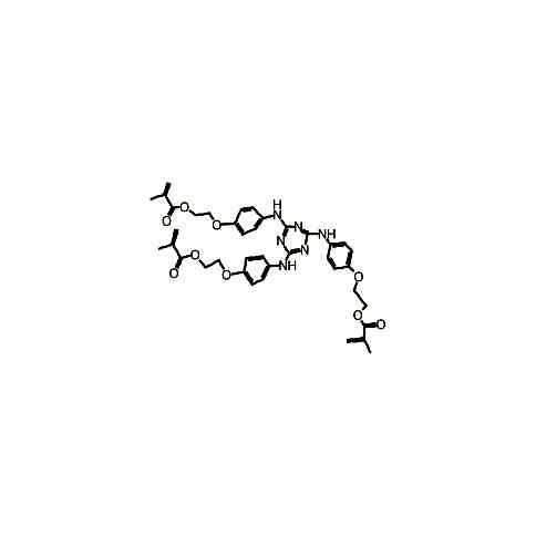 C=C(C)C(=O)OCCOc1ccc(Nc2nc(Nc3ccc(OCCOC(=O)C(=C)C)cc3)nc(Nc3ccc(OCCOC(=O)C(=C)C)cc3)n2)cc1